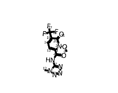 COn1c(C(=O)Nc2nnnn2C)ccc(C(F)(F)F)c1=O